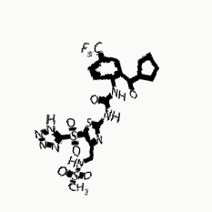 CS(=O)(=O)NCc1nc(NC(=O)Nc2ccc(C(F)(F)F)cc2C(=O)C2CCCC2)sc1S(=O)(=O)c1nnn[nH]1